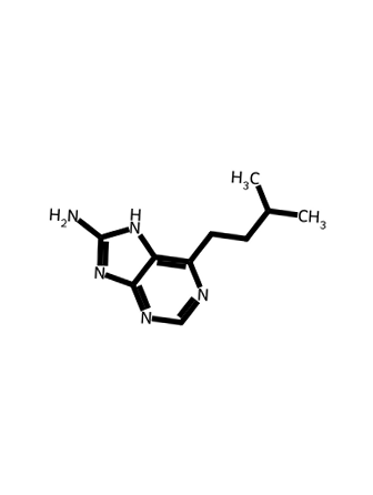 CC(C)CCc1ncnc2nc(N)[nH]c12